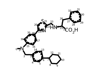 CN(Cc1ccc(C2CCCCC2)cc1)c1ccc(-c2csc(CNC(Cc3ccccc3)C(=O)O)n2)cc1